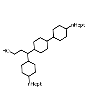 CCCCCCCC1CCC(C2CCC(C(CCO)C3CCC(CCCCCCC)CC3)CC2)CC1